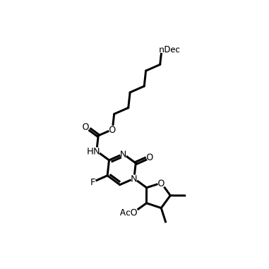 CCCCCCCCCCCCCCCCOC(=O)Nc1nc(=O)n(C2OC(C)C(C)C2OC(C)=O)cc1F